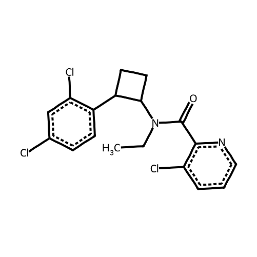 CCN(C(=O)c1ncccc1Cl)C1CCC1c1ccc(Cl)cc1Cl